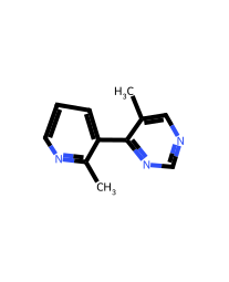 Cc1cncnc1-c1cccnc1C